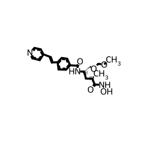 COCOC[C@H](C[C@H](C)C(=O)NO)NC(=O)c1ccc(C=Cc2ccncc2)cc1